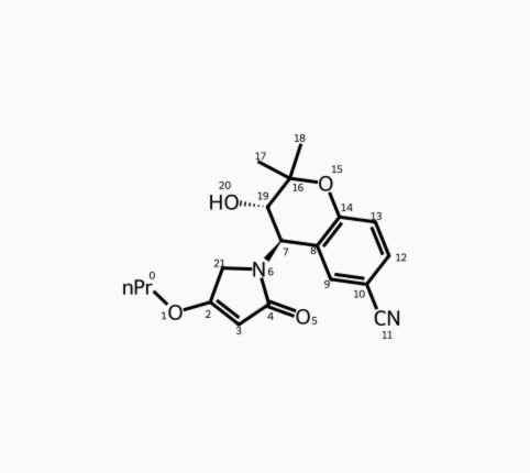 CCCOC1=CC(=O)N([C@@H]2c3cc(C#N)ccc3OC(C)(C)[C@H]2O)C1